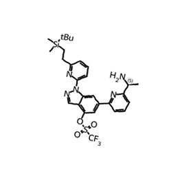 C[C@H](N)c1cccc(-c2cc(OS(=O)(=O)C(F)(F)F)c3cnn(-c4cccc(CC[Si](C)(C)C(C)(C)C)n4)c3c2)n1